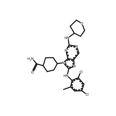 Cc1cc(Cl)cc(Cl)c1Nc1nc2cnc(NC3CCOCC3)nc2n1C1CCC(C(N)=O)CC1